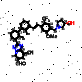 COc1cc(/C=C/c2cccc(-c3cccc(-c4nc5c(C#N)cc(C=O)cn5n4)c3C)c2C)c(C(F)(F)F)cc1CN1CC[C@@H](O)C1